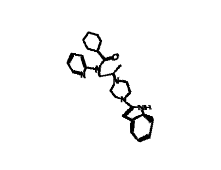 C[C@H](CN(C(=O)C1CCCCC1)c1ccccn1)N1CCN(c2cc3ccccc3[nH]2)CC1